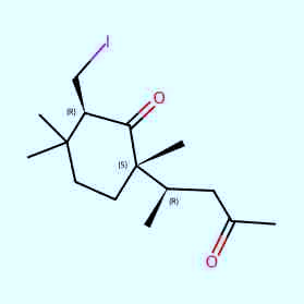 CC(=O)C[C@@H](C)[C@]1(C)CCC(C)(C)[C@@H](CI)C1=O